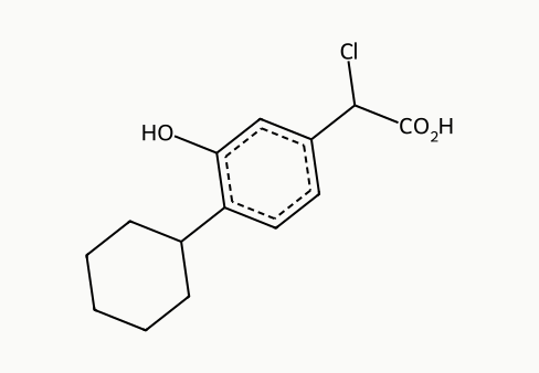 O=C(O)C(Cl)c1ccc(C2CCCCC2)c(O)c1